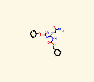 NC(=O)CN/C(=N\C(=O)OCc1ccccc1)NC(=O)OCc1ccccc1